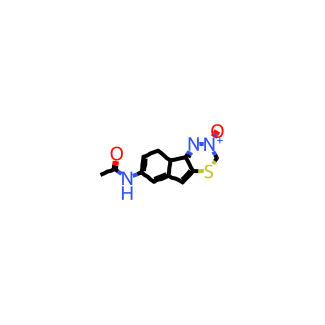 CC(=O)NC1=CCC2C(=C1)C=C1SC[N+](=O)N=C12